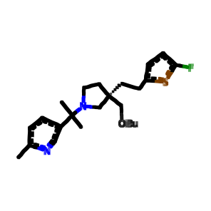 Cc1ccc(C(C)(C)N2CC[C@@](CCc3ccc(F)s3)(COCC(C)C)C2)cn1